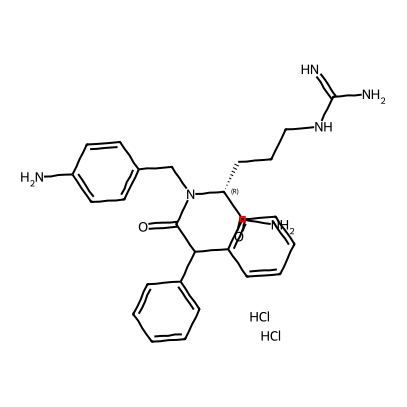 Cl.Cl.N=C(N)NCCC[C@H](C(N)=O)N(Cc1ccc(N)cc1)C(=O)C(c1ccccc1)c1ccccc1